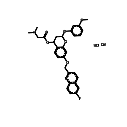 COc1cccc(OC2CC(OC(=O)CN(C)C)c3ccc(OCc4ccc5cc(F)ccc5n4)cc3O2)c1.Cl.Cl